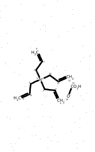 C=CC[N+](CC=C)(CC=C)CC=C.O=C([O-])O